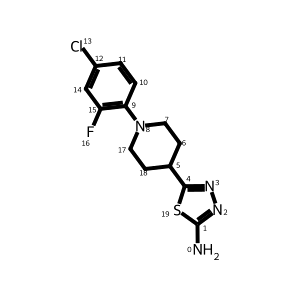 Nc1nnc(C2CCN(c3ccc(Cl)cc3F)CC2)s1